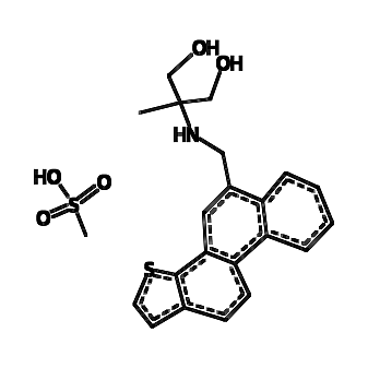 CC(CO)(CO)NCc1cc2c(ccc3ccsc32)c2ccccc12.CS(=O)(=O)O